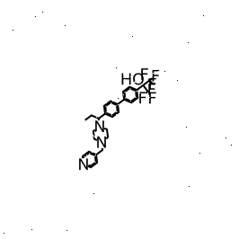 CCC(c1ccc(-c2ccc(C(O)(C(F)(F)F)C(F)(F)F)cc2)cc1)N1CCN(Cc2ccncc2)CC1